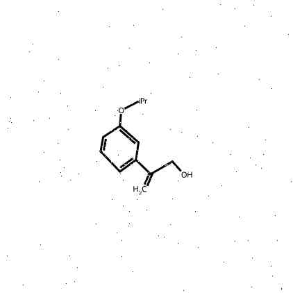 C=C(CO)c1cccc(OC(C)C)c1